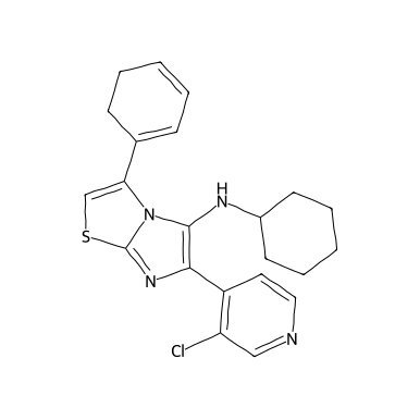 Clc1cnccc1-c1nc2scc(C3=CC=CCC3)n2c1NC1CCCCC1